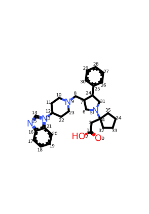 O=C(O)CC1(N2CC(CN3CCC(n4cnc5ccccc54)CC3)C(c3ccccc3)C2)CCCC1